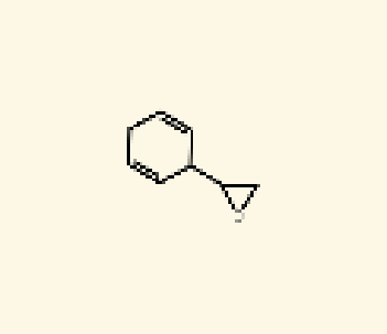 C1=CC(C2CO2)C=CC1